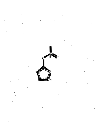 O=[SH](=O)Oc1[c]c[nH]n1